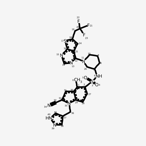 Cc1c(S(=O)(=O)NC2CCCN(c3ncnc4sc(CC(F)(F)F)cc34)C2)ccc2c1cc(C#N)n2Cc1cn[nH]c1